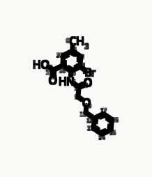 Cc1cc(Br)c(NC(=O)COCc2ccccc2)c(C(=O)O)c1